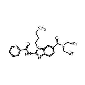 CC(C)CN(CC(C)C)C(=O)c1ccc2nc(NC(=O)c3ccccc3)n(CCCN)c2c1